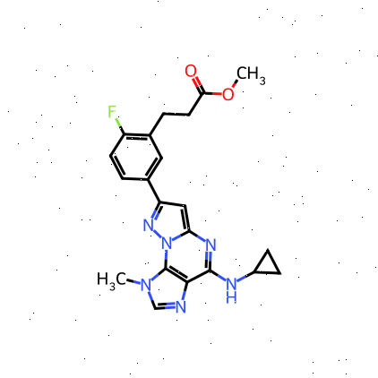 COC(=O)CCc1cc(-c2cc3nc(NC4CC4)c4ncn(C)c4n3n2)ccc1F